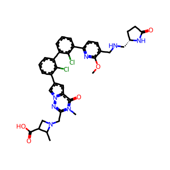 COc1nc(-c2cccc(-c3cccc(-c4cc5c(=O)n(C)c(CN6CC(C(=O)O)C6C)nn5c4)c3Cl)c2Cl)ccc1CNC[C@@H]1CCC(=O)N1